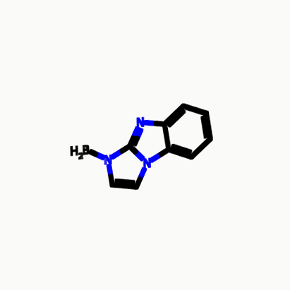 Bn1ccn2c3ccccc3nc12